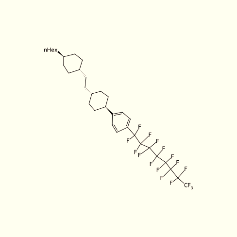 CCCCCC[C@H]1CC[C@H](CC[C@H]2CC[C@H](c3ccc(C(F)(F)C(F)(F)C(F)(F)C(F)(F)C(F)(F)C(F)(F)C(F)(F)C(F)(F)F)cc3)CC2)CC1